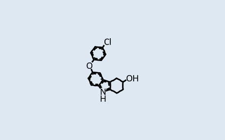 OC1CCc2[nH]c3ccc(Oc4ccc(Cl)cc4)cc3c2C1